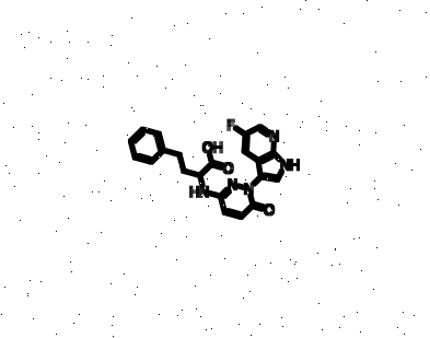 O=C(O)C(CCc1ccccc1)Nc1ccc(=O)n(-c2c[nH]c3ncc(F)cc23)n1